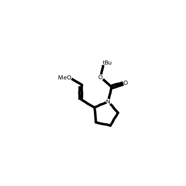 COC=CC1CCCN1C(=O)OC(C)(C)C